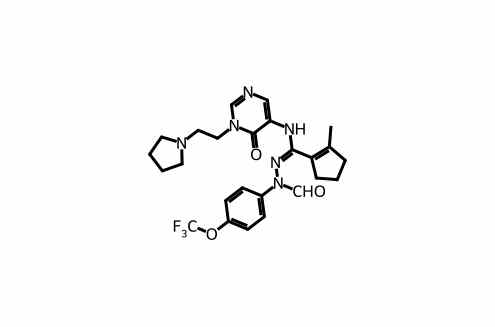 CC1=C(/C(=N\N(C=O)c2ccc(OC(F)(F)F)cc2)Nc2cncn(CCN3CCCC3)c2=O)CCC1